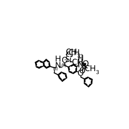 CC[Si](CC)(CC)O[C@@H](CN[C@@H](Cc1ccccc1)c1ccc2ccccc2c1)c1ccc(OCc2ccccc2)c(NS(C)(=O)=O)c1